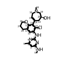 CNc1cc(C)nc(Nc2cc3c(c(C4=CCN(C)C[C@@H](O)C4)c2Cl)OCCC3)n1